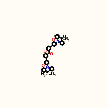 CC1(C)c2ccccc2N2c3ccc(-c4ccc5oc6ccc(-c7ccc8c(c7)Oc7cccc9c7N8c7ccccc7C9(C)C)cc6c(=O)c5c4)cc3Oc3cccc1c32